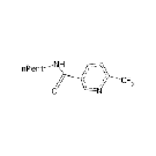 CCCCCNC(=O)c1ccc(C(F)(F)F)nc1